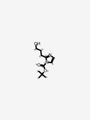 CC(C)(C)OC(=O)n1ccnc1CCCO